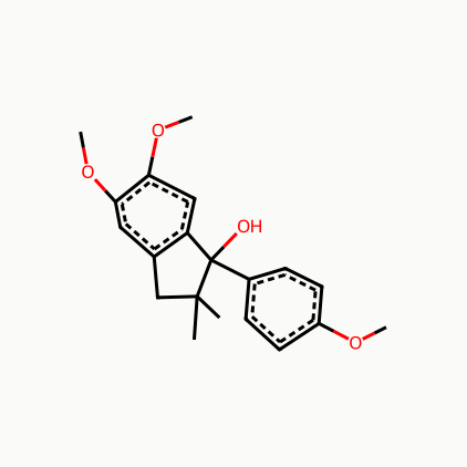 COc1ccc(C2(O)c3cc(OC)c(OC)cc3CC2(C)C)cc1